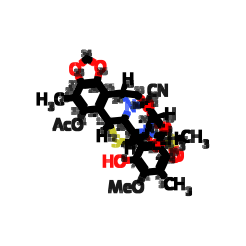 COc1c(C)cc2c(c1O)[C@@H]1C3[C@@H]4SC[C@H](OS(C)(=O)=O)C(=O)OC[C@@H](c5c6c(c(C)c(OC(C)=O)c54)OCO6)N3[C@@H](C#N)[C@H](C2)N1C